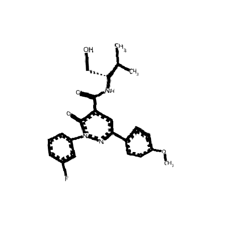 COc1ccc(-c2cc(C(=O)N[C@H](CO)C(C)C)c(=O)n(-c3cccc(F)c3)n2)cc1